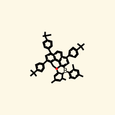 CC1=CC(C)C(B(c2cc(-c3ccc(C(C)(C)C)cc3)c3ccc4c(-c5ccc(C(C)(C)C)cc5)cc(-c5ccc(C(C)(C)C)cc5)c5c4c3c2CC5)c2c(C)cc(C)cc2C)C(C)=C1